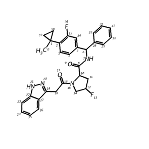 CC1(c2ccc(C(NC(=O)C3CC(F)CN3C(=O)Cc3n[nH]c4ccccc34)c3ccccc3)cc2F)CC1